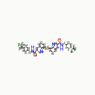 O=C(NCc1ccc(C(F)(F)F)cc1)c1cnc2c(SSc3cccc4cc(C(=O)NCc5ccc(C(F)(F)F)cc5)cnc34)cccc2c1